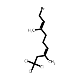 CC(=CCC/C(C)=C/CBr)CC(Cl)(Cl)Cl